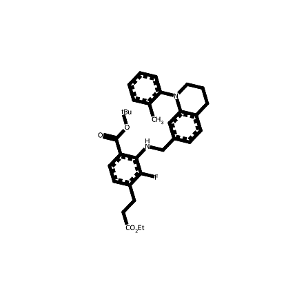 CCOC(=O)CCc1ccc(C(=O)OC(C)(C)C)c(NCc2ccc3c(c2)N(c2ccccc2C)CCC3)c1F